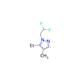 CCc1c(C)[c]nn1CC(F)F